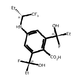 CC[C@@H](Nc1cc([C@](O)(F)CC)c(C(=O)O)c([C@](O)(F)CC)c1)C(F)(F)F